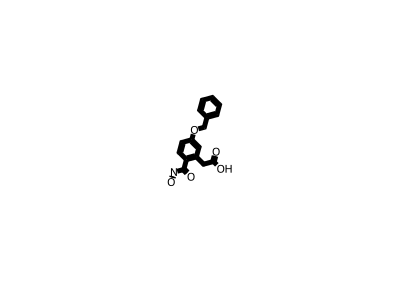 O=NC(=O)c1ccc(OCc2ccccc2)cc1CC(=O)O